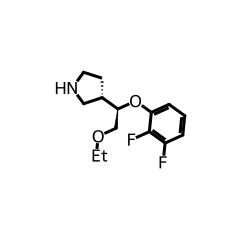 CCOC[C@H](Oc1cccc(F)c1F)[C@H]1CCNC1